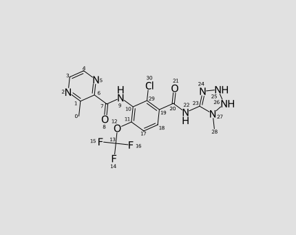 Cc1nccnc1C(=O)Nc1c(OC(F)(F)F)ccc(C(=O)NC2=NNNN2C)c1Cl